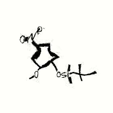 COc1cc([N+](=O)[O-])ccc1O[Si](C)(C)C(C)(C)C